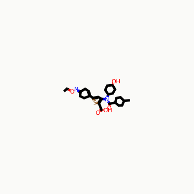 CCO/N=C1/CC=C(c2cc(N(C(=O)C3CCC(C)CC3)C3CCC(O)CC3)c(C(=O)O)s2)CC1